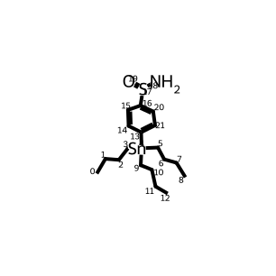 CCC[CH2][Sn]([CH2]CCC)([CH2]CCC)[c]1ccc(S(N)=O)cc1